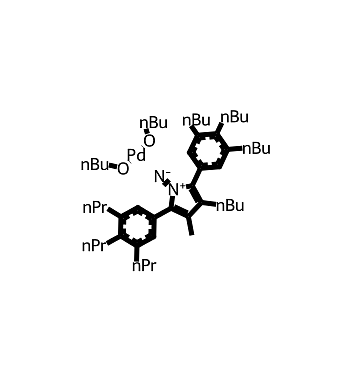 CCCCC1=C(c2cc(CCCC)c(CCCC)c(CCCC)c2)[N+](=[N-])C(c2cc(CCC)c(CCC)c(CCC)c2)=C1C.CCCC[O][Pd][O]CCCC